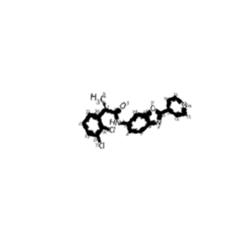 C[C@@H](C(=O)Nc1ccc2nc(-c3ccncc3)oc2c1)c1cccc(Cl)c1Cl